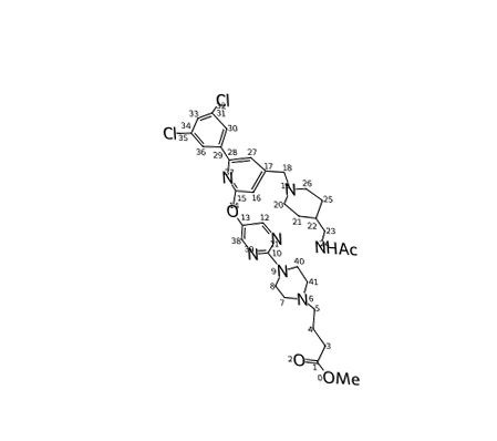 COC(=O)CCCN1CCN(c2ncc(Oc3cc(CN4CCC(CNC(C)=O)CC4)cc(-c4cc(Cl)cc(Cl)c4)n3)cn2)CC1